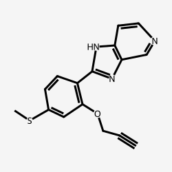 C#CCOc1cc(SC)ccc1-c1nc2cnccc2[nH]1